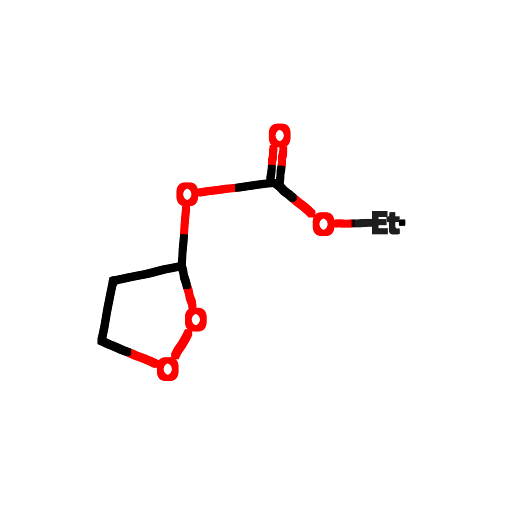 C[CH]OC(=O)OC1CCOO1